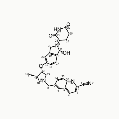 N#Cc1ccc2cc(CN3C[C@@H](F)[C@H](Oc4ccc5c(c4)CN(C4CCC(=O)NC4=O)C5O)C3)ccc2n1